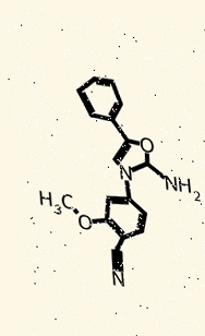 COc1cc(N2C=C(c3ccccc3)OC2N)ccc1C#N